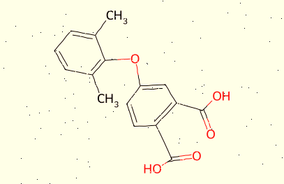 Cc1cccc(C)c1Oc1ccc(C(=O)O)c(C(=O)O)c1